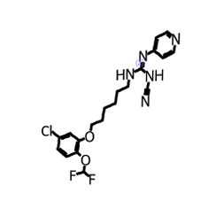 N#CN/C(=N\c1ccncc1)NCCCCCCOc1cc(Cl)ccc1OC(F)F